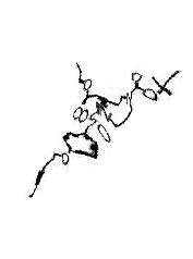 CC#CCOc1ccc(S(=O)(=O)N2CCN(C(=O)OC(C)(C)C)CC2C(=O)OCC)cc1